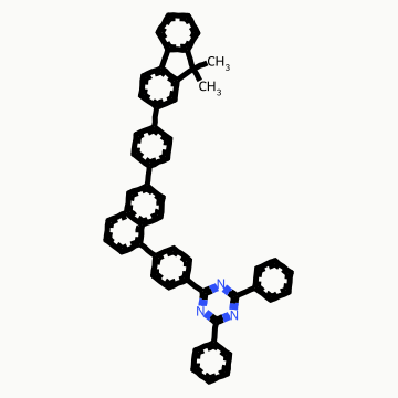 CC1(C)c2ccccc2-c2ccc(-c3ccc(-c4ccc5c(-c6ccc(-c7nc(-c8ccccc8)nc(-c8ccccc8)n7)cc6)cccc5c4)cc3)cc21